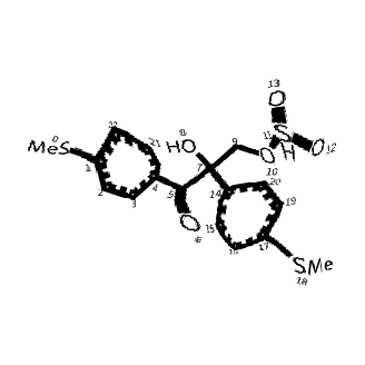 CSc1ccc(C(=O)C(O)(CO[SH](=O)=O)c2ccc(SC)cc2)cc1